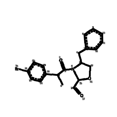 CC(C(=O)N1C(Cc2ccccc2)COC1C=O)c1ccc(Br)cc1